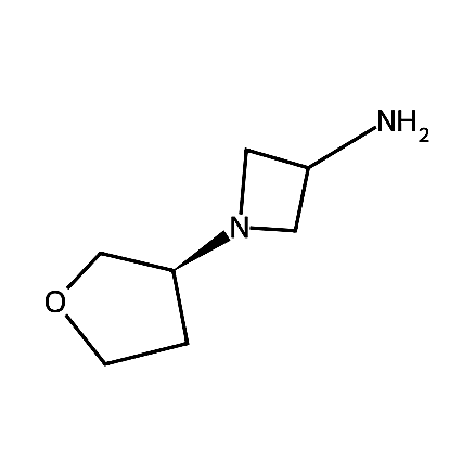 NC1CN([C@H]2CCOC2)C1